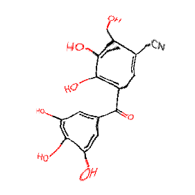 N#Cc1cc(C(=O)c2cc(O)c(O)c(O)c2)c(O)c(O)c1O